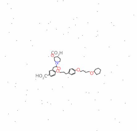 O=C(O)OC1CCCN(C(=O)Cc2cc(C(=O)O)ccc2OCCCc2ccc(OCCCCOC3CCCCC3)cc2)C1